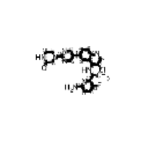 CC(Nc1c(Cl)cnc2ccc(-c3cnc(N4CCNC(=O)C4)nc3)cc12)c1nc(N)ccc1F